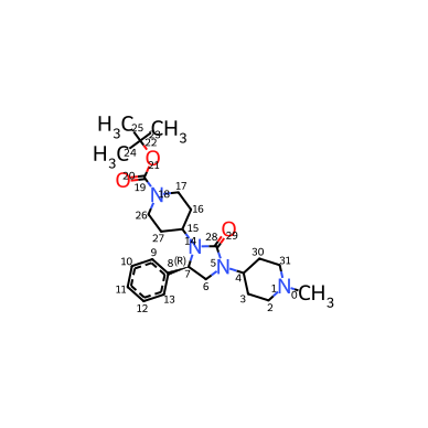 CN1CCC(N2C[C@@H](c3ccccc3)N(C3CCN(C(=O)OC(C)(C)C)CC3)C2=O)CC1